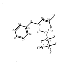 CCCC(C)(C)[Si](C)(C)OC[C@@H](/C=C(/C)F)Cc1ccccc1